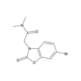 CN(C)C(=O)Cn1c(=O)oc2cc(Br)ccc21